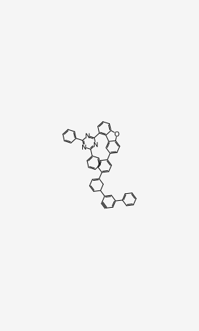 c1cc(-c2ccccc2)cc(C2C=CC=C(c3ccc(-c4ccc5oc6cccc(-c7nc(-c8ccccc8)nc(-c8ccccc8)n7)c6c5c4)cc3)C2)c#1